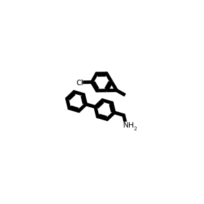 CC1c2ccc(Cl)cc21.NCc1ccc(-c2ccccc2)cc1